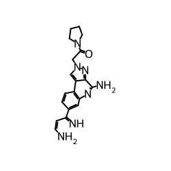 N=C(/C=C\N)c1ccc2c(c1)nc(N)c1nn(CC(=O)N3CCCC3)cc12